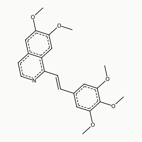 COc1cc2ccnc(C=Cc3cc(OC)c(OC)c(OC)c3)c2cc1OC